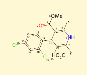 COC(=O)C1=C(C)NC(C)=C(C(=O)O)C1c1ccc(Cl)cc1Cl